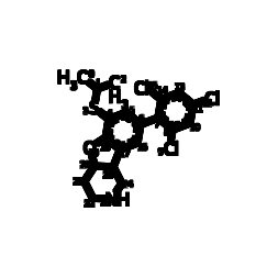 CC(C)Sc1cc(-c2c(Cl)cc(Cl)cc2Cl)cc2c1OC1CCNCC21